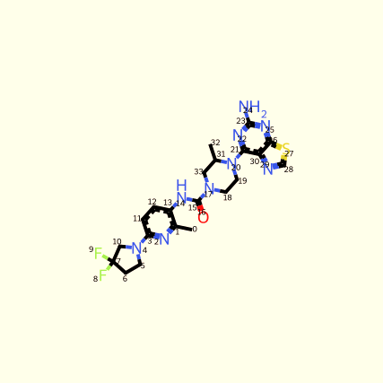 Cc1nc(N2CCC(F)(F)C2)ccc1NC(=O)N1CCN(c2nc(N)nc3scnc23)C(C)C1